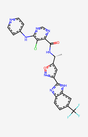 C[C@@H](NC(=O)c1ncnc(Nc2ccncc2)c1Cl)c1cc(-c2nc3ccc(C(F)(F)F)cc3[nH]2)no1